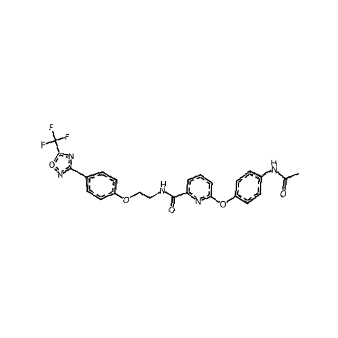 CC(=O)Nc1ccc(Oc2cccc(C(=O)NCCOc3ccc(-c4noc(C(F)(F)F)n4)cc3)n2)cc1